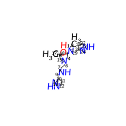 CCN(CCN(CCNCc1cc[nH]n1)C[C@H](C)O)Cc1cc[nH]n1